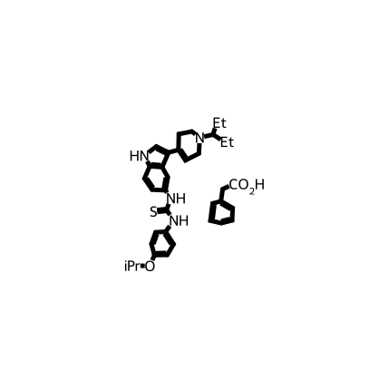 CCC(CC)N1CC=C(c2c[nH]c3ccc(NC(=S)Nc4ccc(OC(C)C)cc4)cc23)CC1.O=C(O)Cc1ccccc1